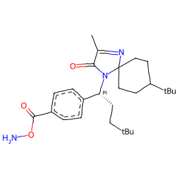 CC1=NC2(CCC(C(C)(C)C)CC2)N([C@H](CCC(C)(C)C)c2ccc(C(=O)ON)cc2)C1=O